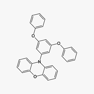 c1ccc(Oc2cc(Oc3ccccc3)cc(N3c4ccccc4Oc4ccccc43)c2)cc1